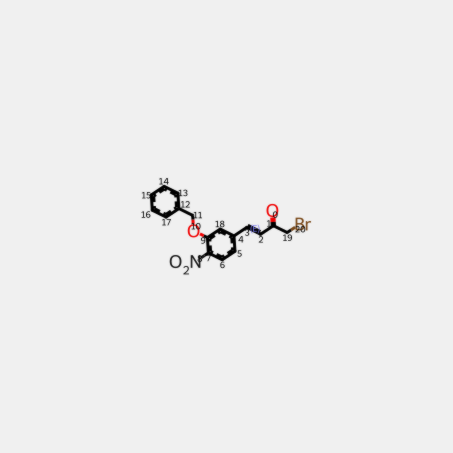 O=C(/C=C/c1ccc([N+](=O)[O-])c(OCc2ccccc2)c1)CBr